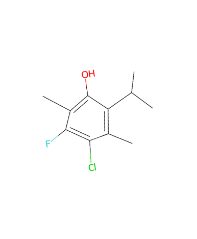 Cc1c(O)c(C(C)C)c(C)c(Cl)c1F